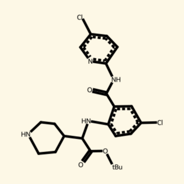 CC(C)(C)OC(=O)C(Nc1ccc(Cl)cc1C(=O)Nc1ccc(Cl)cn1)C1CCNCC1